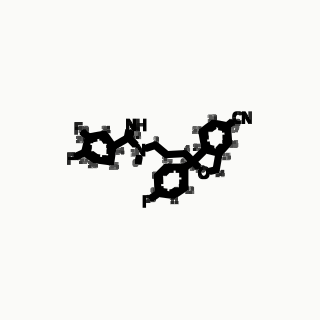 CN(CCCC1(c2ccc(F)cc2)OCc2cc(C#N)ccc21)C(=N)c1ccc(F)c(F)c1